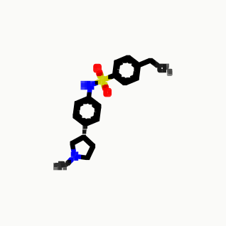 CCCN1CC[C@@H](c2ccc(NS(=O)(=O)c3ccc(CC(F)(F)F)cc3)cc2)C1